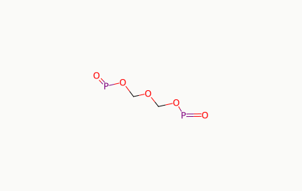 O=POCOCOP=O